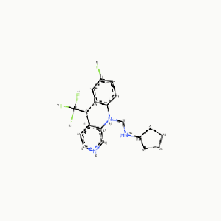 Fc1ccc2c(c1)C(C(F)(F)F)c1ccncc1N2CNC1CCCC1